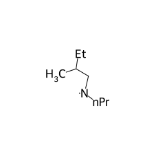 CCC[N]CC(C)CC